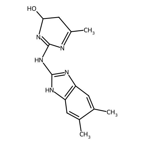 CC1=NC(Nc2nc3cc(C)c(C)cc3[nH]2)=NC(O)C1